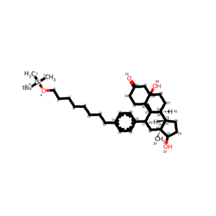 CC(C)(C)[Si](C)(C)OCCCCCCCCc1ccc(C2C[C@]3(C)C(O)CC[C@H]3[C@@H]3CCC4(O)CC(=O)CCC4=C23)cc1